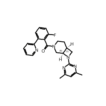 Cc1cc(C)nc(N2C[C@@H]3CCN(C(=O)c4c(F)cccc4-c4ccccn4)C[C@@H]32)n1